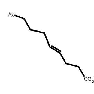 CC(=O)CCCC=CCCC(=O)O